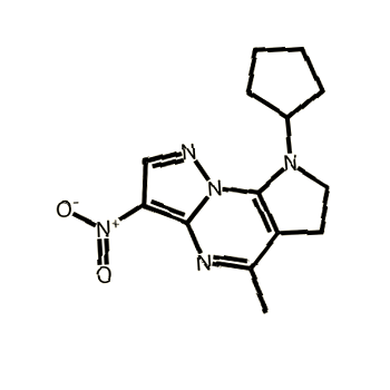 Cc1nc2c([N+](=O)[O-])cnn2c2c1CCN2C1CCCC1